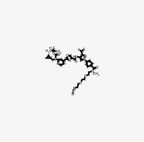 CN(CCOCCOCCN=[N+]=[N-])C(=O)c1ccc(-n2cc(NC(=O)c3coc(-c4ccnc(N(CC5CC5)C(=O)OC(C)(C)C)c4)n3)c(C(F)F)n2)cc1